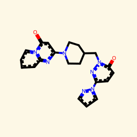 O=c1ccc(-n2cccn2)nn1CC1CCN(c2cc(=O)n3ccccc3n2)CC1